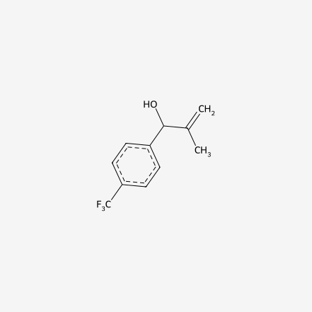 C=C(C)C(O)c1ccc(C(F)(F)F)cc1